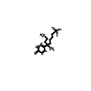 CCCC(C)(CCCCC(F)(F)F)c1ccc(=O)[nH]n1